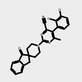 Cc1nc(N2CCC3(CC2)Cc2ccccc2C3=O)nc(C#N)c1-c1cccc(Cl)c1Cl